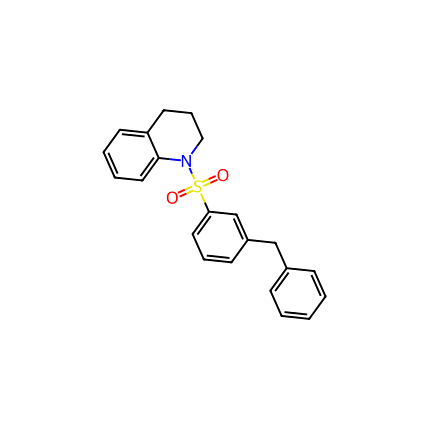 O=S(=O)(c1cccc(Cc2ccccc2)c1)N1CCCc2ccccc21